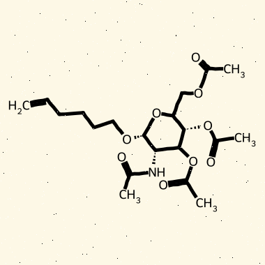 C=CCCCCO[C@@H]1OC(COC(C)=O)[C@H](OC(C)=O)C(OC(C)=O)[C@@H]1NC(C)=O